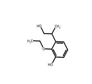 [CH2]C(CO)c1cccc(O)c1OCC